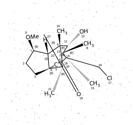 CO[C@@H]1CC[C@@]23CC[C@@H](C)[C@@](C)([C@H](O)C[C@@](C)(CCl)C(=O)[C@@H]2C)[C@@H]13